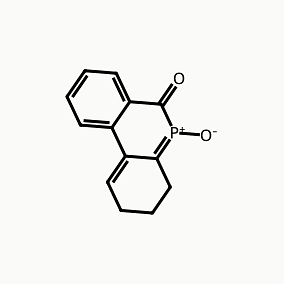 O=C1c2ccccc2C2=CCCCC2=[P+]1[O-]